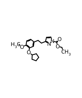 CCOC(=O)n1ccc(CCc2ccc(OC)c(OC3CCCC3)c2)n1